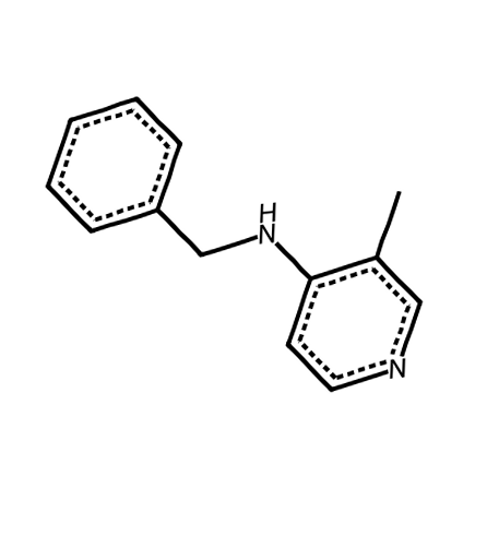 Cc1cnccc1NCc1ccccc1